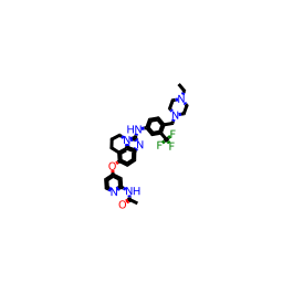 CCN1CCN(Cc2ccc(Nc3nc4ccc(Oc5ccnc(NC(C)=O)c5)c5c4n3CCC5)cc2C(F)(F)F)CC1